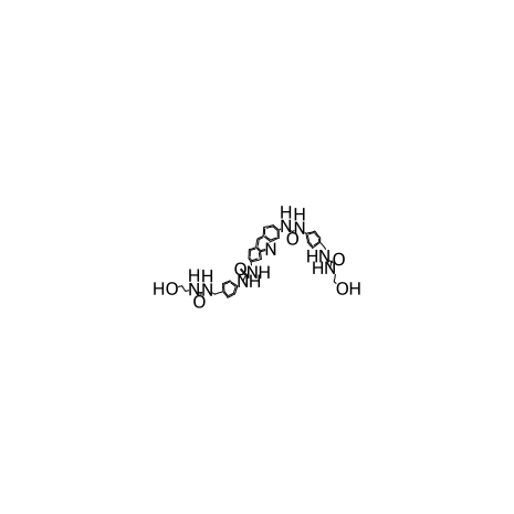 O=C(NCCO)NCc1ccc(NC(=O)Nc2ccc3cc4ccc(NC(=O)Nc5ccc(CNC(=O)NCCO)cc5)cc4nc3c2)cc1